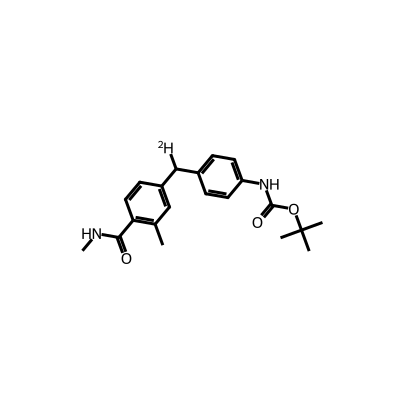 [2H]C(c1ccc(NC(=O)OC(C)(C)C)cc1)c1ccc(C(=O)NC)c(C)c1